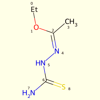 CCO/C(C)=N\NC(N)=S